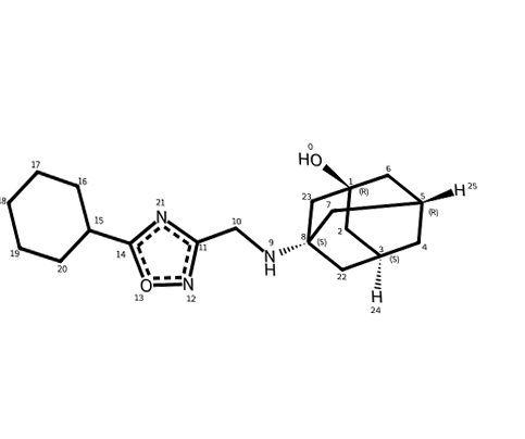 O[C@]12C[C@H]3C[C@@H](C1)C[C@@](NCc1noc(C4CCCCC4)n1)(C3)C2